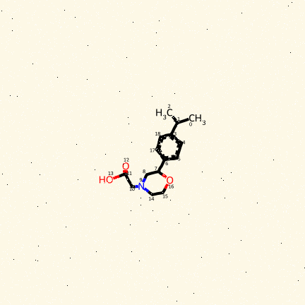 CC(C)c1ccc(C2CN(CC(=O)O)CCO2)cc1